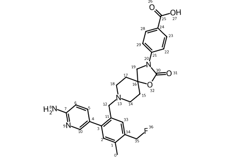 Cc1cc(-c2ccc(N)nc2)c(CN2CCC3(CC2)CN(c2ccc(C(=O)O)cc2)C(=O)O3)cc1CF